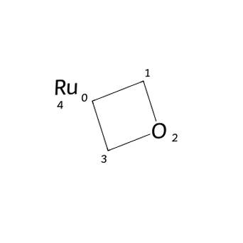 C1COC1.[Ru]